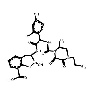 CC1CN(CCN)C(=O)C(=O)N1C(=O)NC(C(=O)NC1Cc2cccc(C(=O)O)c2OB1O)c1ncc(O)cc1F